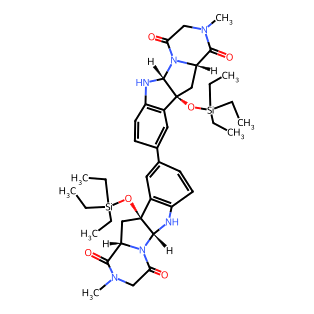 CC[Si](CC)(CC)O[C@]12C[C@H]3C(=O)N(C)CC(=O)N3[C@H]1Nc1ccc(-c3ccc4c(c3)[C@@]3(O[Si](CC)(CC)CC)C[C@H]5C(=O)N(C)CC(=O)N5[C@H]3N4)cc12